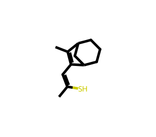 CC1=C(/C=C(/C)S)C2CCCC1C2